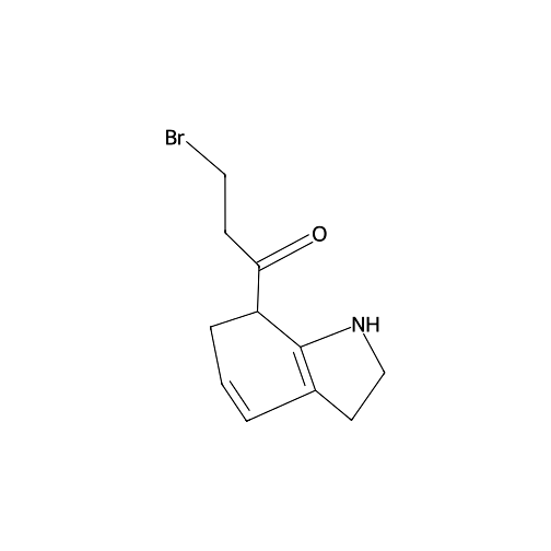 O=C(CCBr)C1CC=CC2=C1NCC2